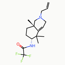 C=CCN1CC=C2C(C)(C)[C@H](NC(=O)C(F)(F)F)CC[C@]2(C)C1